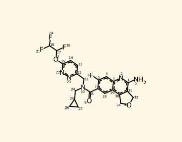 Nc1nc2cc(F)c(C(=O)N(Cc3ccc(OC(F)C(F)F)nn3)CC3CC3)cc2c2c1COC2